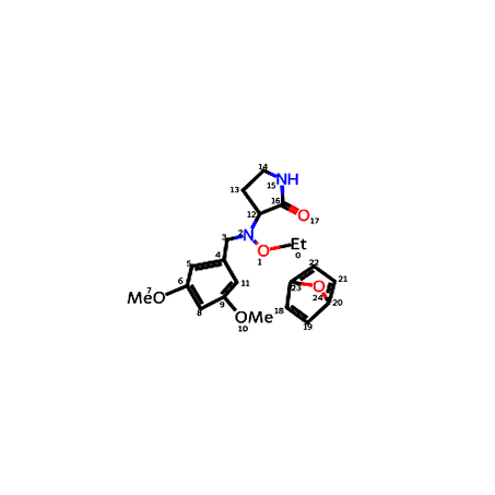 CCON(Cc1cc(OC)cc(OC)c1)C1CCNC1=O.c1cc2ccc1o2